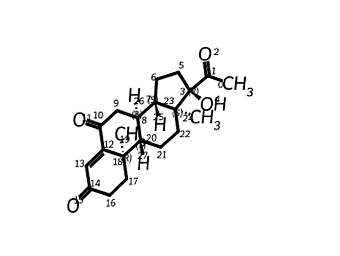 CC(=O)[C@@]1(O)CC[C@H]2[C@@H]3CC(=O)C4=CC(=O)CC[C@]4(C)[C@H]3CC[C@@]21C